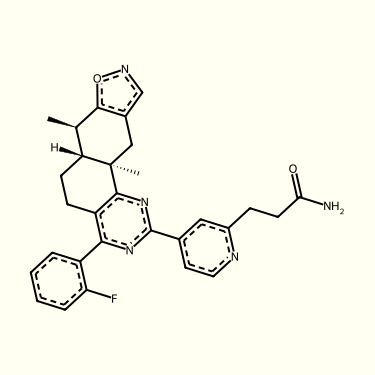 C[C@H]1c2oncc2C[C@@]2(C)c3nc(-c4ccnc(CCC(N)=O)c4)nc(-c4ccccc4F)c3CC[C@H]12